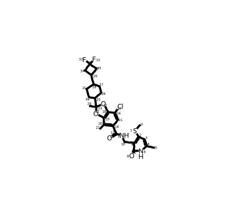 CSc1cc(C)[nH]c(=O)c1CNC(=O)c1cc(Cl)c2c(c1C)OC(C)(C1CCC(C3CC(F)(F)C3)CC1)O2